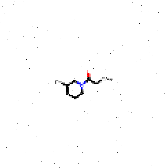 COCC(=O)N1CCCC(C(C)C)C1